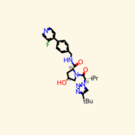 CC(C)[C@@H](C(=O)N1C[C@H](O)C[C@H]1C(=O)NCc1ccc(-c2ccncc2F)cc1)n1cc(C(C)(C)C)nn1